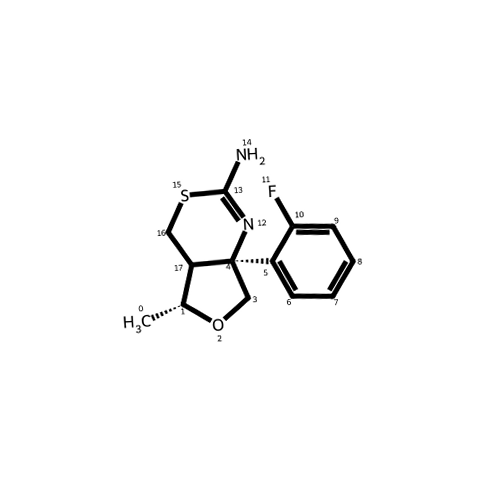 C[C@H]1OC[C@]2(c3ccccc3F)N=C(N)SCC12